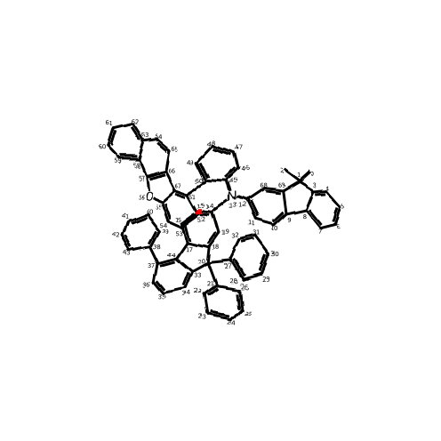 CC1(C)c2ccccc2-c2ccc(N(c3ccc4c(c3)C(c3ccccc3)(c3ccccc3)c3cccc(-c5ccccc5)c3-4)c3ccccc3-c3cccc4oc5c6ccccc6ccc5c34)cc21